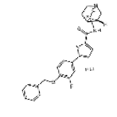 Cl.O=C(N[C@H]1CN2CCC1CC2)c1ccc(-c2ccc(OCc3ccccc3)c(F)c2)s1